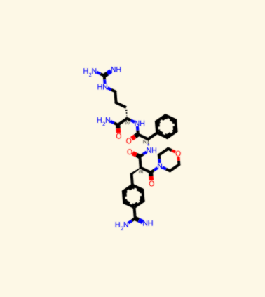 N=C(N)NCCC[C@H](NC(=O)[C@@H](NC(=O)[C@H](Cc1ccc(C(=N)N)cc1)C(=O)N1CCOCC1)c1ccccc1)C(N)=O